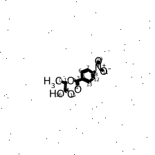 CC(OC(=O)c1ccc([N+](=O)[O-])cc1)C(=O)O